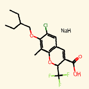 CCC(CC)COc1c(Cl)cc2c(c1C)OC(C(F)(F)F)C(C(=O)O)=C2.[NaH]